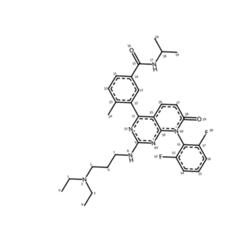 CCN(CC)CCCNc1nc(-c2cc(C(=O)NC(C)C)ccc2C)c2ccc(=O)n(-c3c(F)cccc3F)c2n1